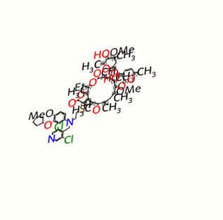 CC[C@H]1OC(=O)[C@H](C)[C@@H](O[C@H]2C[C@@](C)(OC)[C@@H](O)[C@H](C)O2)[C@H](C)[C@@H](O[C@@H]2O[C@H](C)C=C[C@H]2O)[C@](C)(OC)C[C@@H](C)C(=O)[C@H](C)[C@H]2[C@H](SCCN(Cc3c(Cl)cncc3Cl)c3ccc(OC)c(OC4CCCC4)c3)C(=O)O[C@@]21C